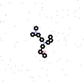 c1ccc(-n2c3ccccc3c3cc(-c4ccc(N(c5ccc(-c6cccc7c6oc6ccccc67)cc5)c5ccc6ccc7ccccc7c6c5)cc4)ccc32)cc1